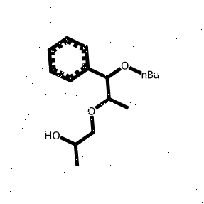 CCCCOC(c1ccccc1)C(C)OCC(C)O